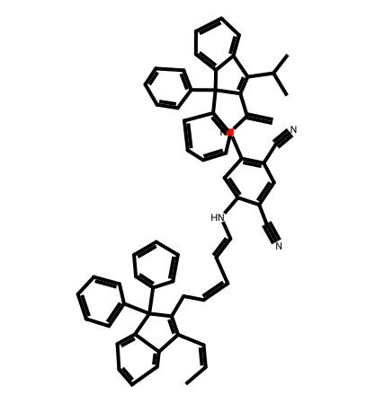 C=C(Nc1cc(N/C=C/C=C\CC2=C(/C=C\C)c3ccccc3C2(c2ccccc2)c2ccccc2)c(C#N)cc1C#N)C1=C(C(C)C)c2ccccc2C1(c1ccccc1)c1ccccc1